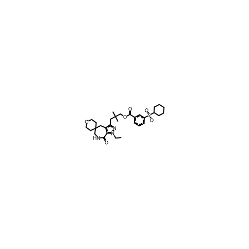 CCn1nc(CC(C)(C)COC(=O)c2cccc(S(=O)(=O)C3CCCCC3)c2)c2c1C(=O)NCC1(CCOCC1)C2